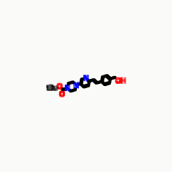 CC(C)(C)OC(=O)N1CCN(c2ccc(/C=C/c3ccc(CO)cc3)nc2)CC1